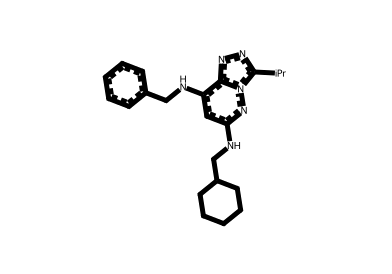 CC(C)c1nnc2c(NCc3ccccc3)cc(NCC3CCCCC3)nn12